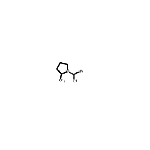 CCCC(O)N1CCCC1C